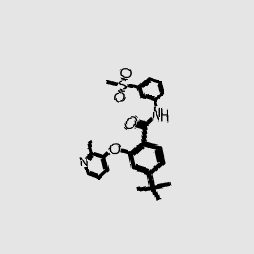 Cc1ncccc1Oc1cc(C(C)(C)C)ccc1C(=O)Nc1cccc(S(C)(=O)=O)c1